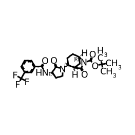 CC(C)(C)OC(=O)N1C(=O)[C@@H]2C[C@H]1CC[C@@H]2N1CC[C@H](NC(=O)c2cccc(C(F)(F)F)c2)C1=O